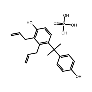 C=CCc1c(O)ccc(C(C)(C)c2ccc(O)cc2)c1CC=C.O=P(O)(O)O